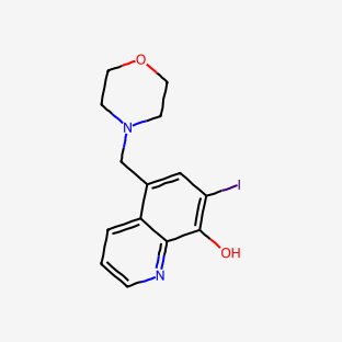 Oc1c(I)cc(CN2CCOCC2)c2cccnc12